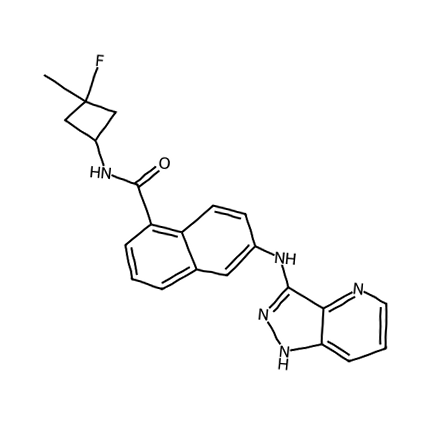 CC1(F)CC(NC(=O)c2cccc3cc(Nc4n[nH]c5cccnc45)ccc23)C1